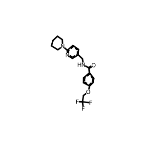 O=C(NCc1ccc(N2CCCCC2)nc1)c1ccc(OCC(F)(F)F)cc1